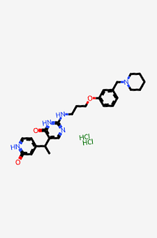 CC(c1cc[nH]c(=O)c1)c1cnc(NCCCOc2cccc(CN3CCCCC3)c2)[nH]c1=O.Cl.Cl